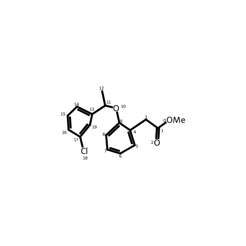 COC(=O)Cc1ccccc1OC(C)c1cccc(Cl)c1